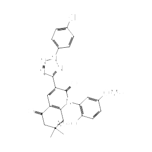 COc1ccc(OC)c(-n2c3c(cc(-c4nnn(-c5ccc(Cl)cc5)n4)c2=O)C(=O)CC(C)(C)C3)c1